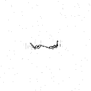 CC(C)CCCC(C)C1CCC2C3CC=C4CC(NCCOCCONC5CCC6(C)C(=CCC7C6CCC6(C)C(C(C)CCCC(C)C)CCC76)C5)CCC4(C)C3CCC12C